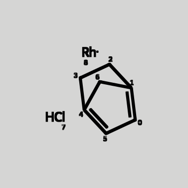 C1=C2CCC(=C1)C2.Cl.[Rh]